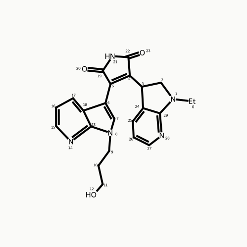 CCN1CC(C2=C(c3cn(CCCO)c4ncccc34)C(=O)NC2=O)c2cccnc21